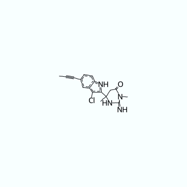 CC#Cc1ccc2[nH]c(C3(C)CC(=O)N(C)C(=N)N3)c(Cl)c2c1